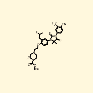 C[C@@H]1CN(CCOc2ccc(N3C(=S)N(c4ccc(C#N)c(C(F)(F)F)c4)C(=O)C3(C)C)cc2CC(F)F)CCN1C(=O)OC(C)(C)C